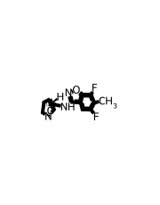 Cc1c(F)cc2c(N[C@@H]3CN4CCC3CC4)noc2c1F